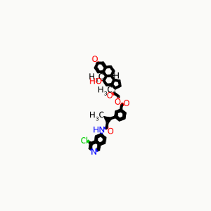 C[C@H]1C(C(=O)Nc2ccc3cncc(Cl)c3c2)C1c1cccc(C(=O)OCC(=O)[C@H]2CCC3[C@@H]4CCC5=CC(=O)C=C[C@]5(C)C4[C@@H](O)C[C@@]32C)c1